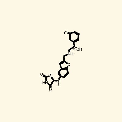 O=C1NC(=O)C(Nc2ccc3oc(CNC[C@H](O)c4cccc(Cl)c4)cc3c2)S1